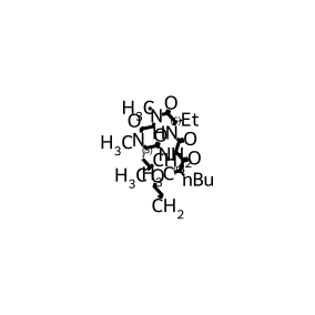 C=CCOC(C)(C)C[C@@H](C(N)=O)N(C)C(=O)CN(C)C(=O)[C@H](CC)NC(=O)CC(=O)[C@H](C)CCCC